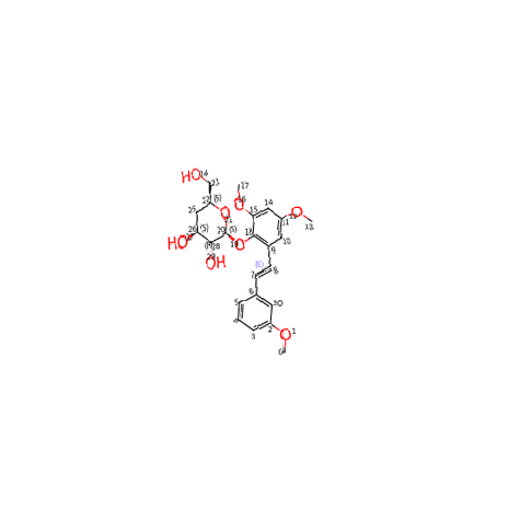 COc1cccc(/C=C/c2cc(OC)cc(OC)c2O[C@@H]2O[C@H](CO)C[C@H](O)[C@H]2O)c1